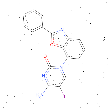 Nc1nc(=O)n(-c2cccc3nc(-c4ccccc4)oc23)cc1I